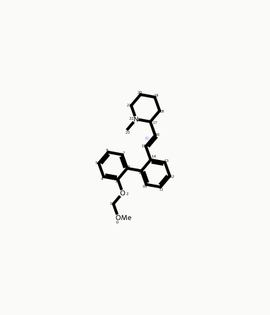 COCOc1ccccc1-c1ccccc1/C=C/C1CCCCN1C